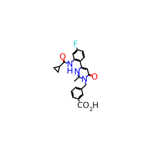 Cc1nc(-c2ccc(F)cc2NC(=O)C2CC2)cc(=O)n1Cc1cccc(C(=O)O)c1